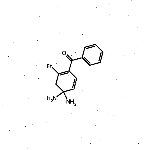 CCC1=C(C(=O)c2ccccc2)C=CC(N)(N)C1